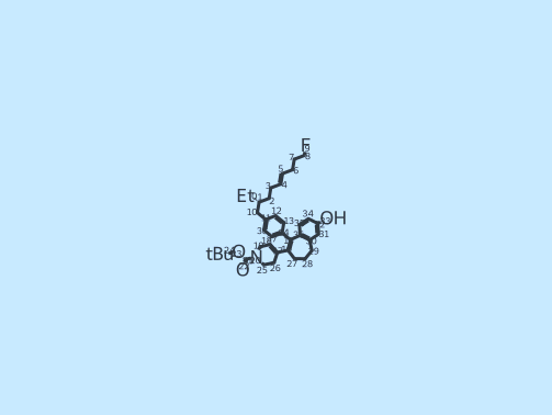 CC[C@H](CC/C=C/CCCF)Cc1ccc(C2=C(C3=CCN(C(=O)OC(C)(C)C)CC3)CCCc3cc(O)ccc32)cc1